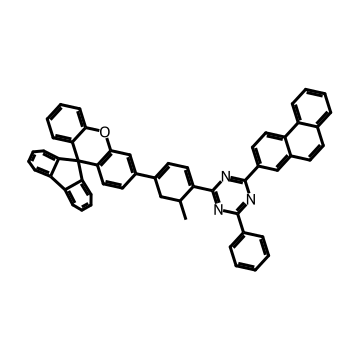 CC1CC(c2ccc3c(c2)Oc2ccccc2C32c3ccccc3-c3ccccc32)=CC=C1c1nc(-c2ccccc2)nc(-c2ccc3c(ccc4ccccc43)c2)n1